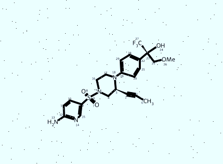 CC#C[C@H]1CN(S(=O)(=O)c2ccc(N)nc2)CCN1c1ccc([C@](O)(COC)C(F)(F)F)cc1